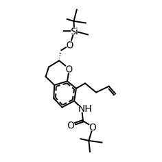 C=CCCc1c(NC(=O)OC(C)(C)C)ccc2c1O[C@@H](CO[Si](C)(C)C(C)(C)C)CC2